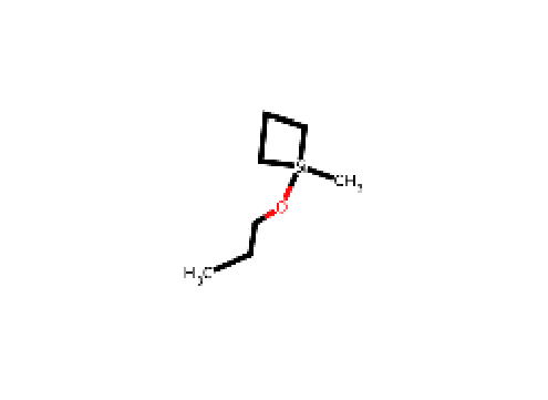 CCCO[Si]1(C)CCC1